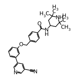 CC1(C)CC(NC(=O)c2ccc(COc3cccc(-c4cncc(C#N)c4)c3)cc2)CC(C)(C)N1